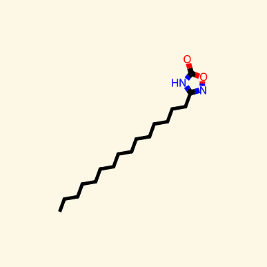 CCCCCCCCCCCCCCCc1noc(=O)[nH]1